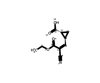 CCOC(=O)C(C#N)=C[C@@H]1C[C@H]1C(=O)O